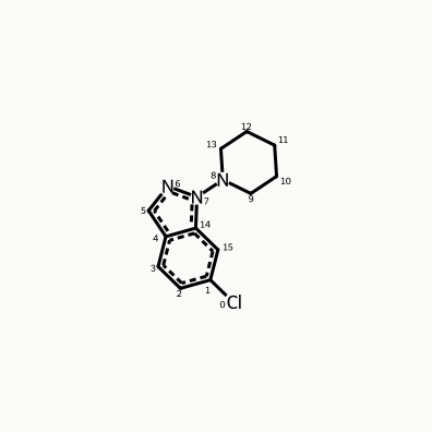 Clc1ccc2cnn(N3CCCCC3)c2c1